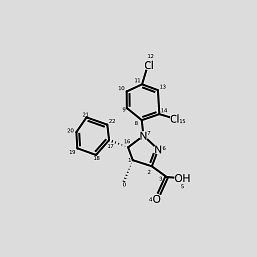 C[C@H]1C(C(=O)O)=NN(c2ccc(Cl)cc2Cl)[C@H]1c1ccccc1